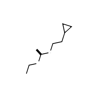 CCOC(=O)[N]CCC1CC1